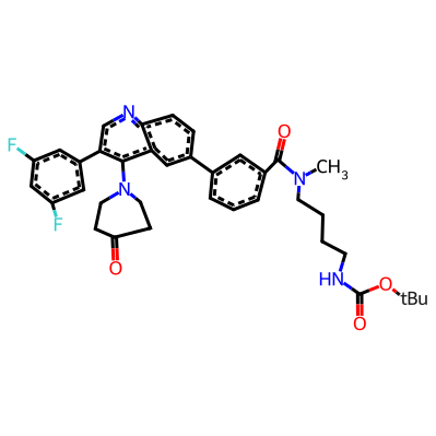 CN(CCCCNC(=O)OC(C)(C)C)C(=O)c1cccc(-c2ccc3ncc(-c4cc(F)cc(F)c4)c(N4CCC(=O)CC4)c3c2)c1